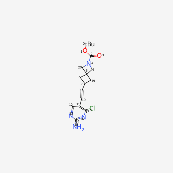 CC(C)(C)OC(=O)N1CC2(CC(C#Cc3cnc(N)nc3Cl)C2)C1